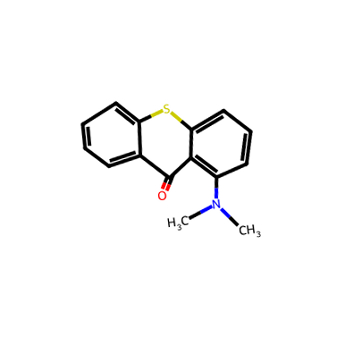 CN(C)c1cccc2sc3ccccc3c(=O)c12